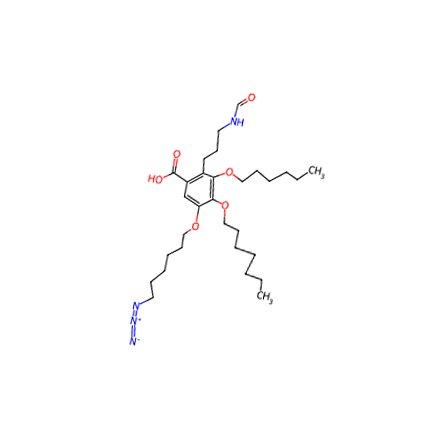 CCCCCCCOc1c(OCCCCCCN=[N+]=[N-])cc(C(=O)O)c(CCCNC=O)c1OCCCCCC